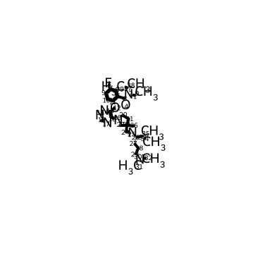 CCN(C(=O)c1cc(F)ccc1Oc1nncnc1N1CCC2(C1)CN([C@@H](CCCN(C)C)C(C)C)C2)C(C)C